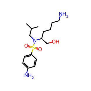 CC(C)CN([C@H](CO)CCCCN)S(=O)(=O)c1ccc(N)cc1